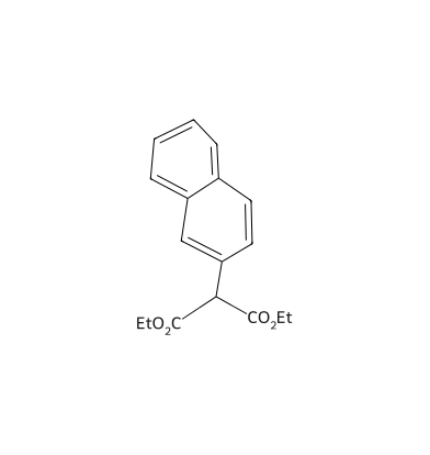 CCOC(=O)C(C(=O)OCC)c1ccc2ccccc2c1